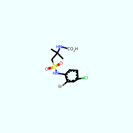 CC(C)(CS(=O)(=O)Nc1ccc(Cl)cc1Br)NC(=O)O